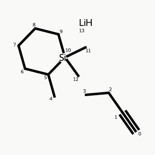 C#CCC.CC1CCCC[Si]1(C)C.[LiH]